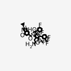 CCOc1c(CC(N)=O)cc([C@@](O)(CNC(=O)c2cc(OC)c3nn(C4CC4)cc3c2)c2cccc(F)c2)nc1-c1cc(C(F)(F)F)c(F)cc1F